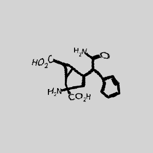 NC(=O)C(c1ccccc1)C1CC(N)(C(=O)O)C2C(C(=O)O)C12